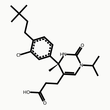 CC(C)N1C=C(CCC(=O)O)[C@](C)(c2ccc(CCC(C)(C)C)c(Cl)c2)NC1=O